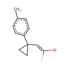 Cc1ccc(C2(/C=C(\F)Br)CC2)cc1